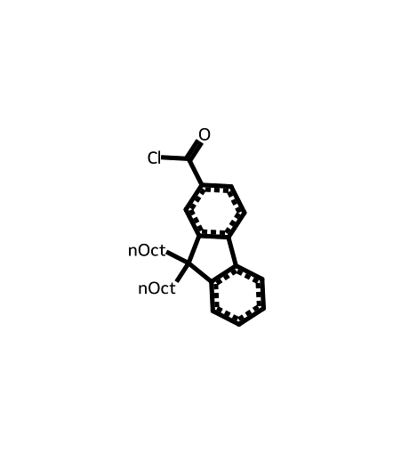 CCCCCCCCC1(CCCCCCCC)c2ccccc2-c2ccc(C(=O)Cl)cc21